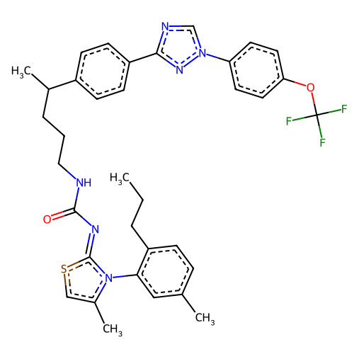 CCCc1ccc(C)cc1-n1c(C)cs/c1=N\C(=O)NCCCC(C)c1ccc(-c2ncn(-c3ccc(OC(F)(F)F)cc3)n2)cc1